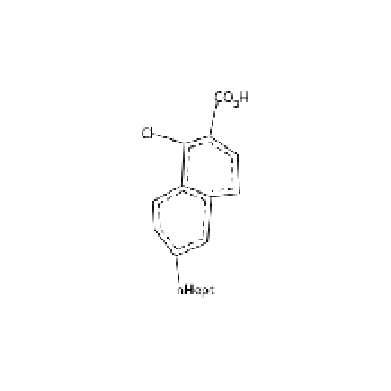 CCCCCCCc1ccc2c(Cl)c(C(=O)O)ccc2c1